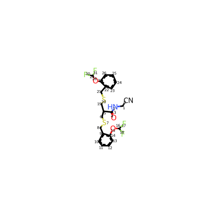 N#CCNC(=O)C(CSCc1ccccc1OC(F)F)CSCc1ccccc1OC(F)F